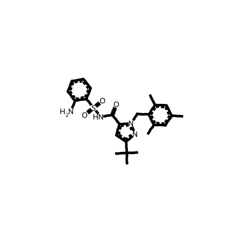 Cc1cc(C)c(Cn2nc(C(C)(C)C)cc2C(=O)NS(=O)(=O)c2ccccc2N)c(C)c1